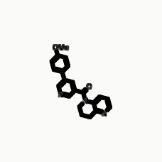 COc1ccc(-c2cncc(C(=O)N3CCCc4ncccc43)c2)cc1